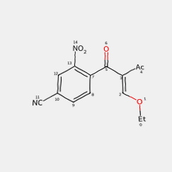 CCOC=C(C(C)=O)C(=O)c1ccc(C#N)cc1[N+](=O)[O-]